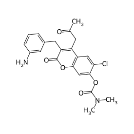 CC(=O)Cc1c(Cc2cccc(N)c2)c(=O)oc2cc(OC(=O)N(C)C)c(Cl)cc12